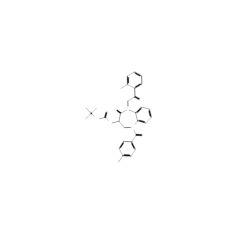 Cc1ccccc1C(=O)CN1C(=O)C(NC(=O)OC(C)(C)C)CN(C(=O)c2ccc(Cl)cc2)c2ccccc21